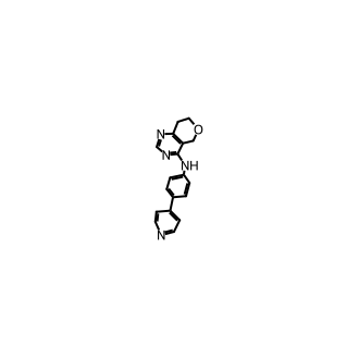 c1cc(-c2ccc(Nc3ncnc4c3COCC4)cc2)ccn1